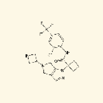 O=C(Nc1ccc(C(F)(F)F)cc1Cl)C1(n2ncc3c2CN(C2CNC2)C3)CCC1